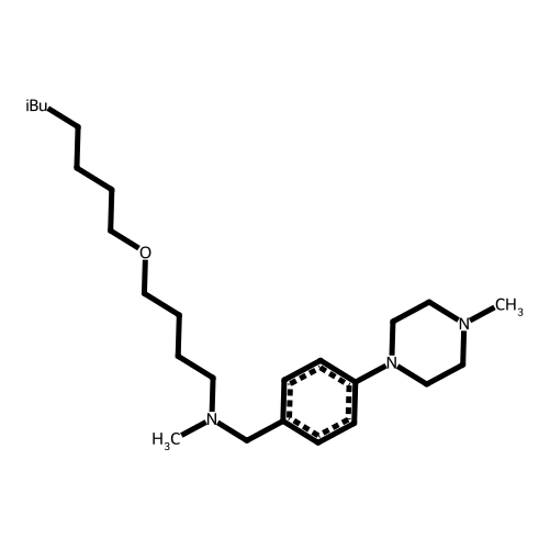 CCC(C)CCCCOCCCCN(C)Cc1ccc(N2CCN(C)CC2)cc1